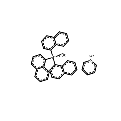 CCCC[B-](c1cccc2ccccc12)(c1cccc2ccccc12)c1cccc2ccccc12.c1cc[nH+]cc1